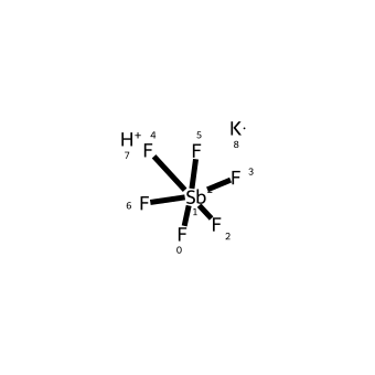 [F][Sb-]([F])([F])([F])([F])[F].[H+].[K]